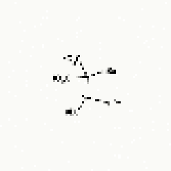 CCCCC(CCC)C(CCCC)(C(=O)O)C(=O)O